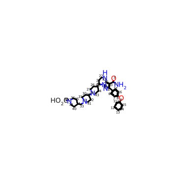 NC(=O)c1c(-c2ccc(Oc3ccccc3)cc2)nn2c1NCC[C@H]2C1CCN(C2CCN(CC3CCN(C(=O)O)CC3)CC2)CC1